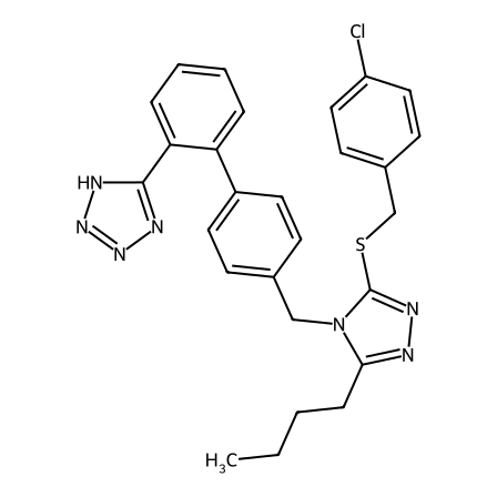 CCCCc1nnc(SCc2ccc(Cl)cc2)n1Cc1ccc(-c2ccccc2-c2nnn[nH]2)cc1